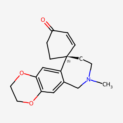 CN1CC[C@@]2(C=CC(=O)CC2)c2cc3c(cc2C1)OCCO3